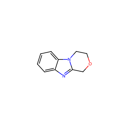 c1ccc2c(c1)nc1n2CCOC1